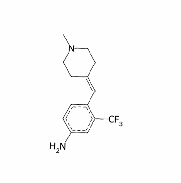 CN1CCC(=Cc2ccc(N)cc2C(F)(F)F)CC1